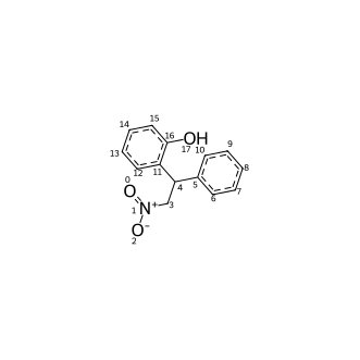 O=[N+]([O-])CC(c1ccccc1)c1ccccc1O